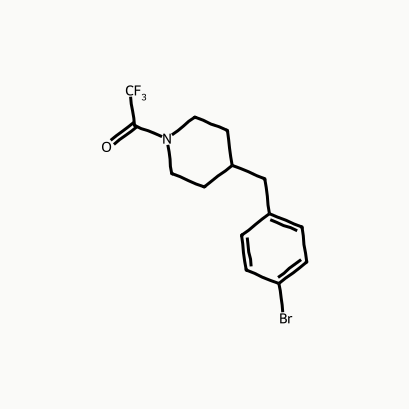 O=C(N1CCC(Cc2ccc(Br)cc2)CC1)C(F)(F)F